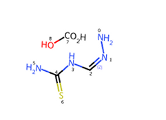 N/N=C\NC(N)=S.O=C(O)O